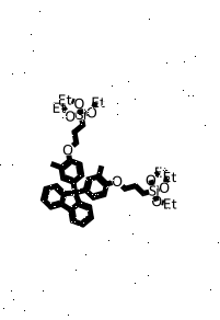 CCO[Si](CCCOc1ccc(C2(c3ccc(OCCC[Si](OCC)(OCC)OCC)c(C)c3)c3ccccc3-c3ccccc32)cc1C)(OCC)OCC